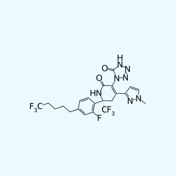 Cn1ccc(C2=C(n3nn[nH]c3=O)C(=O)N[C@@](c3ccc(CCCCC(F)(F)F)cc3F)(C(F)(F)F)C2)n1